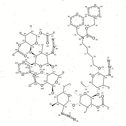 CCC1O[C@H](O[C@H]2C(C)C(OC(C)=O)[C@H](O[C@H]3C(C)C(N=[N+]=[N-])[C@@H](OCCCCCN(Cc4ccccc4)C(=O)OCc4ccccc4)O[C@H]3CC)O[C@H]2C)C(N=[N+]=[N-])[C@@H](C)[C@@H]1O[C@@H]1OC(C)[C@@H](O[C@H]2O[C@@H](CC)[C@@H](O[C@@H]3O[C@@H](OC(C)=O)[C@@H](C)C(C)C3OC(C)=O)C(C)C2N=[N+]=[N-])[C@@H](OCc2ccccc2)C1OC(C)=O